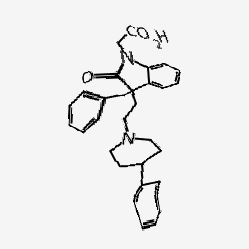 O=C(O)CN1C(=O)C(CCN2CCC(c3ccccc3)CC2)(c2ccccc2)c2ccccc21